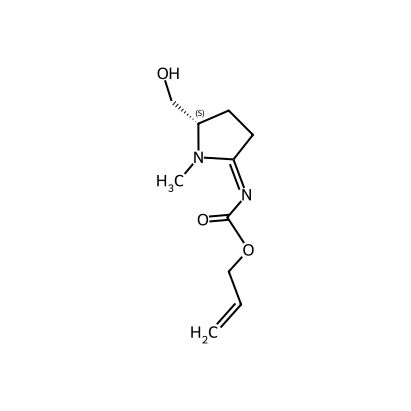 C=CCOC(=O)N=C1CC[C@@H](CO)N1C